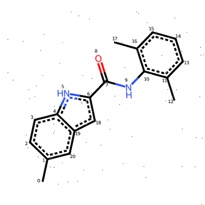 Cc1ccc2[nH]c(C(=O)Nc3c(C)cccc3C)cc2c1